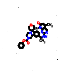 Cc1cc(=O)n(C(C)C)c2nc(N[C@@H](C)c3ccc(C4(N5CCN(C(=O)Oc6ccccc6)CC5)CCOCC4)cc3)ncc12